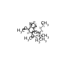 CCCCN(S)C(C)(C)C.COc1cc(OC)c2ncsc2c1